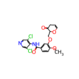 COc1ccc(C(=O)Nc2c(Cl)cncc2Cl)cc1OCC1OC=CCC1=O